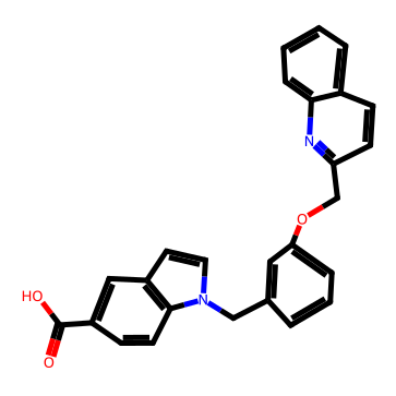 O=C(O)c1ccc2c(ccn2Cc2cccc(OCc3ccc4ccccc4n3)c2)c1